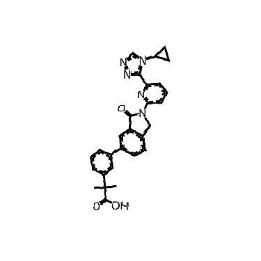 CC(C)(C(=O)O)c1cccc(-c2ccc3c(c2)C(=O)N(c2cccc(-c4nncn4C4CC4)n2)C3)c1